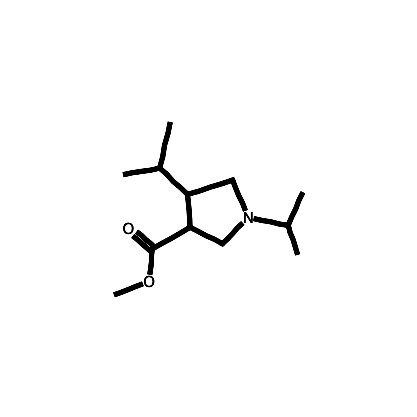 COC(=O)C1CN(C(C)C)CC1C(C)C